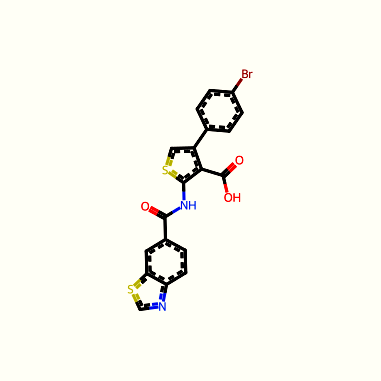 O=C(Nc1scc(-c2ccc(Br)cc2)c1C(=O)O)c1ccc2ncsc2c1